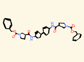 O=C(Nc1ccc(-c2ccc(NC(=O)C3CCN(C(=O)OCc4ccccc4)C3)cc2)cc1)C1CCN(C(=O)OCc2ccccc2)C1